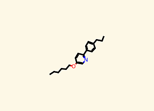 CCCCCCOc1ccc(-c2ccc(CCC)cc2)nc1